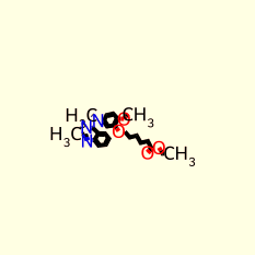 CCOC(=O)CCCCCOc1cc(N(C)c2nc(C)nc3ccccc23)ccc1OC